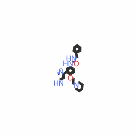 CN(C)/C(=C\C=N)c1cc(NC(=O)NCc2ccccc2)ccc1OCCN1CCCCC1